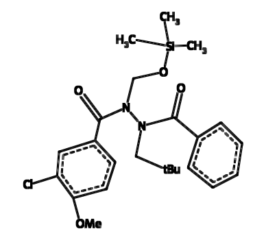 COc1ccc(C(=O)N(CO[Si](C)(C)C)N(CC(C)(C)C)C(=O)c2ccccc2)cc1Cl